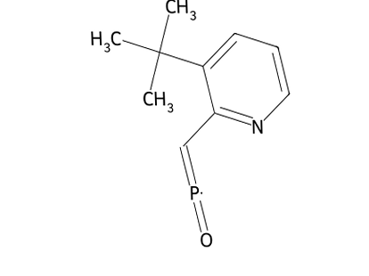 CC(C)(C)c1cccnc1C=[P]=O